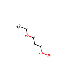 CCOCCCOO